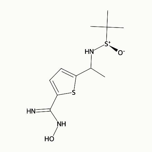 CC(N[S@+]([O-])C(C)(C)C)c1ccc(C(=N)NO)s1